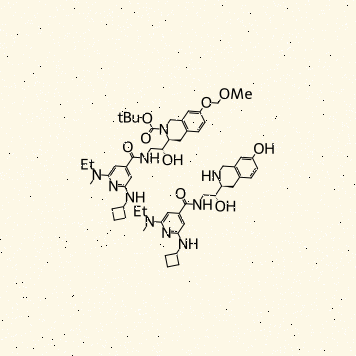 CCN(C)c1cc(C(=O)NC[C@@H](O)[C@@H]2Cc3ccc(O)cc3CN2)cc(NC2CCC2)n1.CCN(C)c1cc(C(=O)NC[C@@H](O)[C@@H]2Cc3ccc(OCOC)cc3CN2C(=O)OC(C)(C)C)cc(NC2CCC2)n1